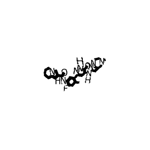 Cc1cc(F)c(NC(=O)c2cc3n(c2)CCCC3)cc1-c1cc(NC2=NN3CCN(C)CC(=C2)C3)c(=O)[nH]n1